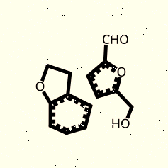 O=Cc1ccc(CO)o1.c1ccc2c(c1)CCO2